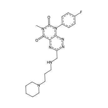 Cn1c(=O)c2nc(CNCCCN3CCCCC3)nnc2n(-c2ccc(F)cc2)c1=O